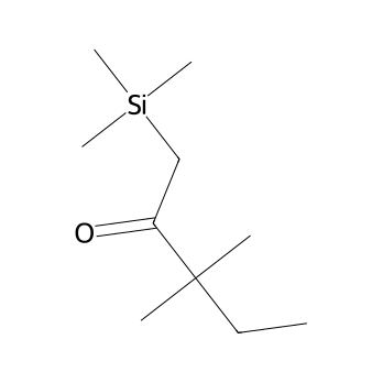 CCC(C)(C)C(=O)C[Si](C)(C)C